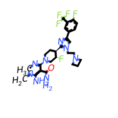 C=N/C(N)=C(C(N)=O)\C(=N/C)N1CC[C@@H](c2nc(-c3ccc(F)c(C(F)(F)F)c3)cn2CCN2CCC2)[C@H](F)C1